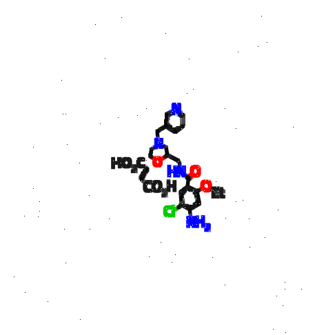 CCOc1cc(N)c(Cl)cc1C(=O)NCC1CN(Cc2cccnc2)CCO1.O=C(O)C=CC(=O)O